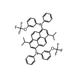 CC(C)c1cc(N(c2ccccc2)c2cccc(OC(F)(F)F)c2)c2ccc3c(C(C)C)cc(N(c4ccccc4)c4cccc(OC(F)(F)F)c4)c4ccc1c2c34